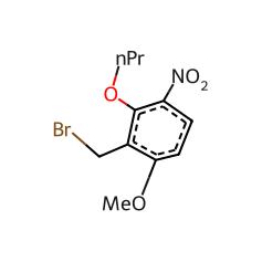 CCCOc1c([N+](=O)[O-])ccc(OC)c1CBr